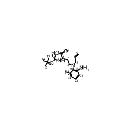 C=CCN(CCC(NC(=O)OC(C)(C)C)C(=O)O)c1c(N)cccc1F